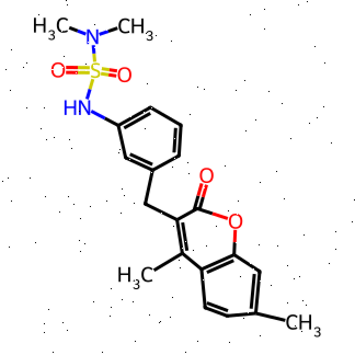 Cc1ccc2c(C)c(Cc3cccc(NS(=O)(=O)N(C)C)c3)c(=O)oc2c1